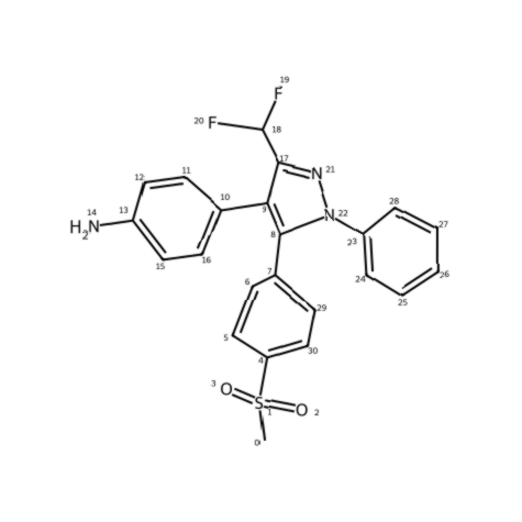 CS(=O)(=O)c1ccc(-c2c(-c3ccc(N)cc3)c(C(F)F)nn2-c2ccccc2)cc1